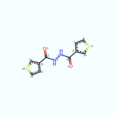 O=C(NNC(=O)c1ccsc1)c1ccsc1